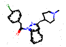 CN1CCC(c2nn(C(=O)c3ccc(Cl)cc3)c3ccccc23)CC1